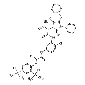 CCC(Oc1ccc(C(C)(C)CC)cc1C(C)(C)CC)C(=O)Nc1ccc(Cl)c(NC(=O)C(C(=O)C(C)(C)C)C2C(=O)N(Cc3ccccc3)N(c3ccccc3)[NH+]2[O-])c1